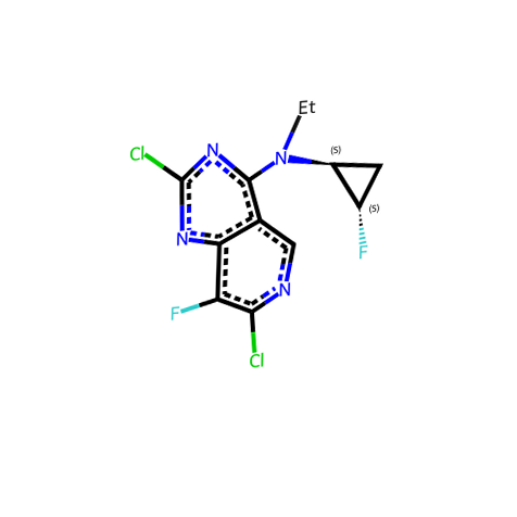 CCN(c1nc(Cl)nc2c(F)c(Cl)ncc12)[C@H]1C[C@@H]1F